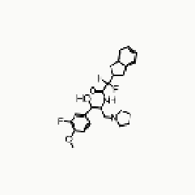 COc1ccc(C(O)C(CN2CCCC2)NC(=O)C(F)(F)C2Cc3ccccc3C2)cc1F